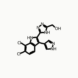 OCc1nnc(-c2[nH]c3c(Cl)c(Cl)ccc3c2-c2cn[nH]c2)[nH]1